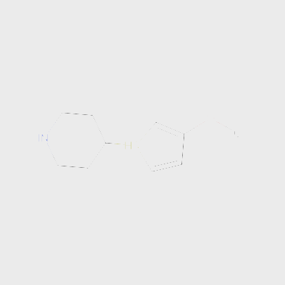 FC(F)(F)OC1=C[SH](C2CCNCC2)C=C1